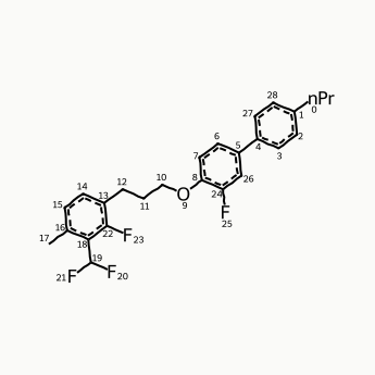 CCCc1ccc(-c2ccc(OCCCc3ccc(C)c(C(F)F)c3F)c(F)c2)cc1